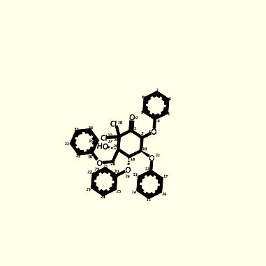 O=C1C(Oc2ccccc2)[C@@H](Oc2ccccc2)[C@H](Oc2ccccc2)[C@@](O)(COc2ccccc2)C1(Cl)Cl